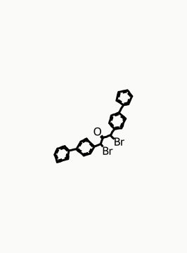 O=C(C(Br)c1ccc(-c2ccccc2)cc1)C(Br)c1ccc(-c2ccccc2)cc1